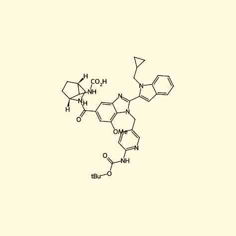 COc1cc(C(=O)N2C[C@H]3CC[C@@H]2[C@@H]3NC(=O)O)cc2nc(-c3cc4ccccc4n3CC3CC3)n(Cc3ccc(NC(=O)OC(C)(C)C)nc3)c12